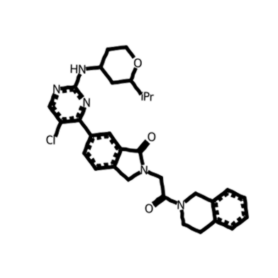 CC(C)C1CC(Nc2ncc(Cl)c(-c3ccc4c(c3)C(=O)N(CC(=O)N3CCc5ccccc5C3)C4)n2)CCO1